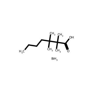 CCCCC(C)(C)C(C)(C)C(=O)O.[BiH3]